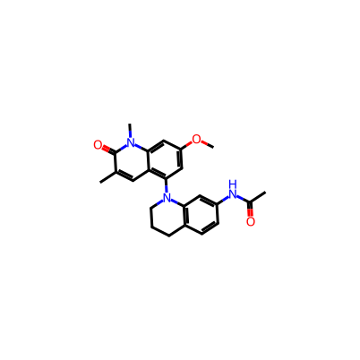 COc1cc(N2CCCc3ccc(NC(C)=O)cc32)c2cc(C)c(=O)n(C)c2c1